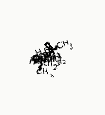 C=C(C(=CC=CCC)C(=C)[Si](C)(C)O[Si](C)(C)C(=C)C(=CC=CCC)C(=C)C12CCCCC1CC2)C12CCCCC1CC2